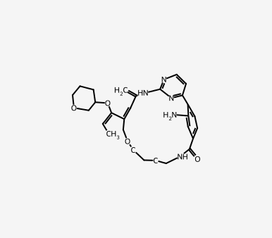 C=C1/C=C(\C(=C/C)OC2CCCOC2)COCCCCNC(=O)c2ccc(c(N)c2)-c2ccnc(n2)N1